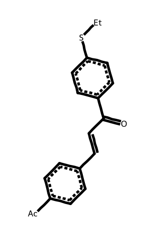 CCSc1ccc(C(=O)/C=C/c2ccc(C(C)=O)cc2)cc1